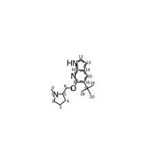 CN1CCCC1COc1nc2[nH]ccc2cc1C(C)(C)C